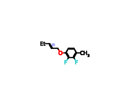 CC/C=C/COc1ccc(C)c(F)c1F